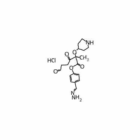 CC(OC1CCNCC1)(C(=O)CCC=O)C(=O)Oc1ccc(C=NN)cc1.Cl